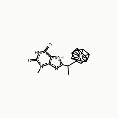 CC(c1nc2c([nH]1)c(=O)[nH]c(=O)n2C)[C]12[CH]3[CH]4[CH]5[CH]1[Fe]45321678[CH]2[CH]1[CH]6[CH]7[CH]28